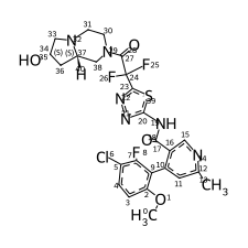 COc1ccc(Cl)c(F)c1-c1cc(C)ncc1C(=O)Nc1nnc(C(F)(F)C(=O)N2CCN3C[C@@H](O)C[C@H]3C2)s1